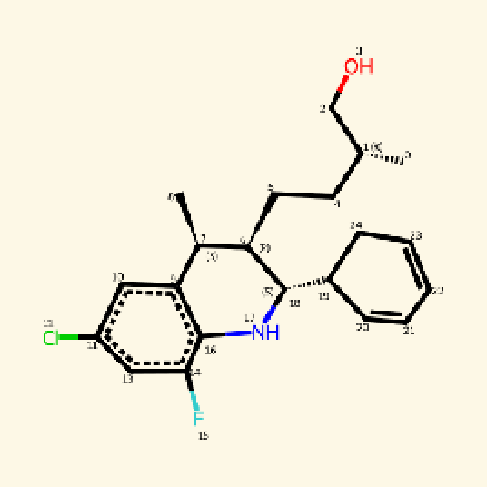 C[C@@H](CO)CC[C@@H]1[C@H](C)c2cc(Cl)cc(F)c2N[C@H]1C1C=CC=CC1